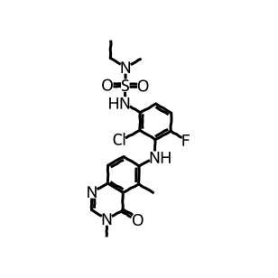 CCN(C)S(=O)(=O)Nc1ccc(F)c(Nc2ccc3ncn(C)c(=O)c3c2C)c1Cl